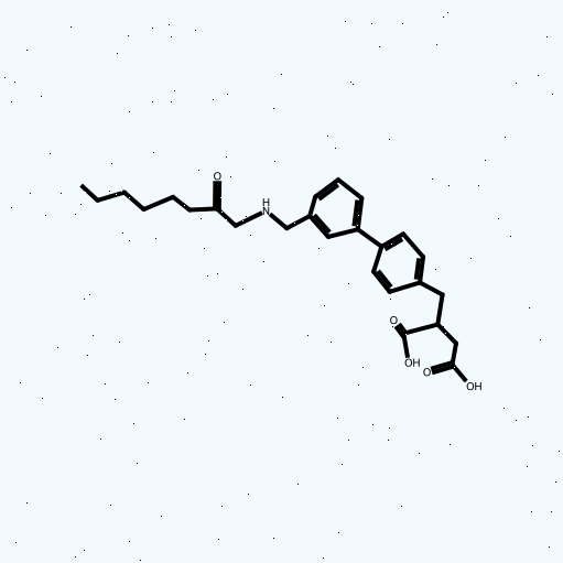 CCCCCCC(=O)CNCc1cccc(-c2ccc(CC(CC(=O)O)C(=O)O)cc2)c1